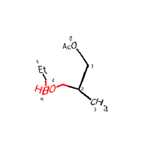 CC(=O)OCC(C)O.CCO